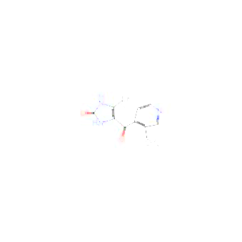 CCc1[nH]c(=O)[nH]c1C(=O)c1ccncc1C